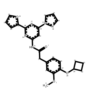 COc1cc(CC(=O)Nc2cc(-n3cccn3)nc(-c3ccco3)n2)ccc1OC1CCC1